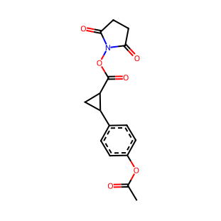 CC(=O)Oc1ccc(C2CC2C(=O)ON2C(=O)CCC2=O)cc1